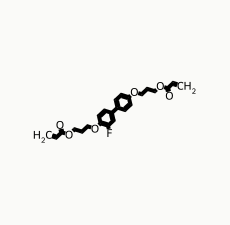 C=CC(=O)OCCCOc1ccc(-c2ccc(OCCCOC(=O)C=C)c(F)c2)cc1